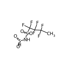 CC(F)(F)C(F)(F)C(F)(F)S(=O)(=O)N[SH](=O)=O